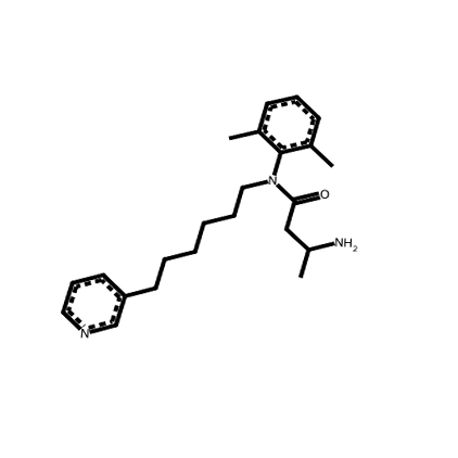 Cc1cccc(C)c1N(CCCCCCc1cccnc1)C(=O)CC(C)N